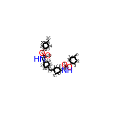 Cc1ccc(OC(=O)Nc2ccc(Cc3ccc(NC(=O)Oc4ccc(C)cc4)cc3)cc2)cc1